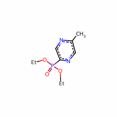 CCOP(=O)(OCC)c1cnc(C)cn1